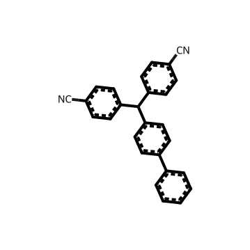 N#Cc1ccc(C(c2ccc(C#N)cc2)c2ccc(-c3ccccc3)cc2)cc1